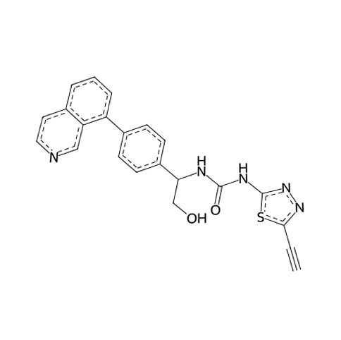 C#Cc1nnc(NC(=O)NC(CO)c2ccc(-c3cccc4ccncc34)cc2)s1